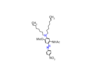 C=CCCCCCCN(CCCCCCC=C)c1cc(NC(C)=O)c(N=Nc2ccc([N+](=O)[O-])cc2)cc1OC